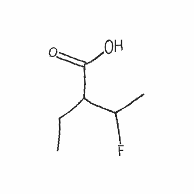 CCC(C(=O)O)C(C)F